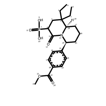 CCC1(CC)CC(P(=O)(O)O)C(=O)N2[C@H](c3ccc(C(=O)OC)cc3)CCC[C@@H]21